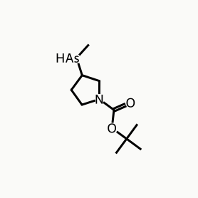 C[AsH]C1CCN(C(=O)OC(C)(C)C)C1